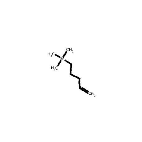 C=CCC[CH2][Sn]([CH3])([CH3])[CH3]